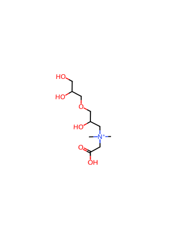 C[N+](C)(CC(=O)O)CC(O)COCC(O)CO